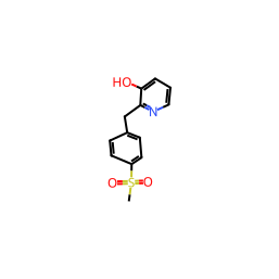 CS(=O)(=O)c1ccc(Cc2ncccc2O)cc1